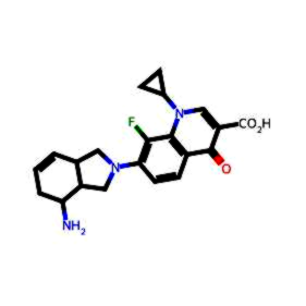 NC1CC=CC2CN(c3ccc4c(=O)c(C(=O)O)cn(C5CC5)c4c3F)CC12